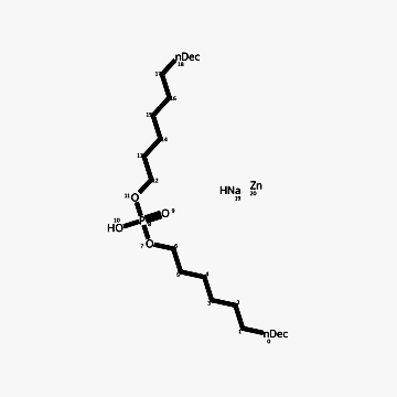 CCCCCCCCCCCCCCCCOP(=O)(O)OCCCCCCCCCCCCCCCC.[NaH].[Zn]